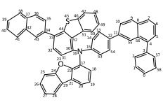 c1ccc(-c2cccc3ccc(-c4ccc(N(c5cccc6c5oc5ccccc56)c5ccc(-c6ccc7ccccc7c6)c6sc7ccccc7c56)cc4)cc23)cc1